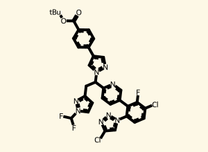 CC(C)(C)OC(=O)c1ccc(-c2cnn(C(Cc3ccn(C(F)F)n3)c3ccc(-c4c(-n5cc(Cl)nn5)ccc(Cl)c4F)cn3)c2)cc1